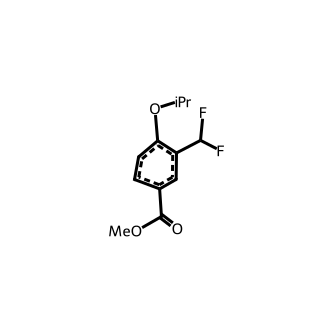 COC(=O)c1ccc(OC(C)C)c(C(F)F)c1